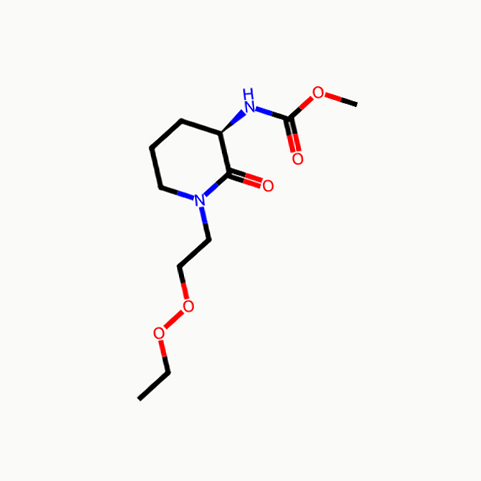 CCOOCCN1CCC[C@@H](NC(=O)OC)C1=O